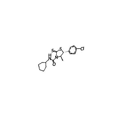 C[C@@H]1[C@@H](c2ccc(Cl)cc2)SC(=S)N1C(=O)NC1CCCCC1